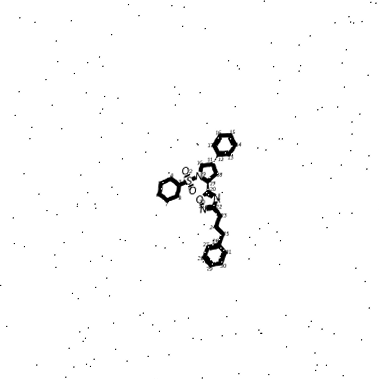 O=S(=O)(C1CCCCC1)N1C[C@H](c2ccccc2)C[C@H]1c1nc(CCCc2ccccc2)no1